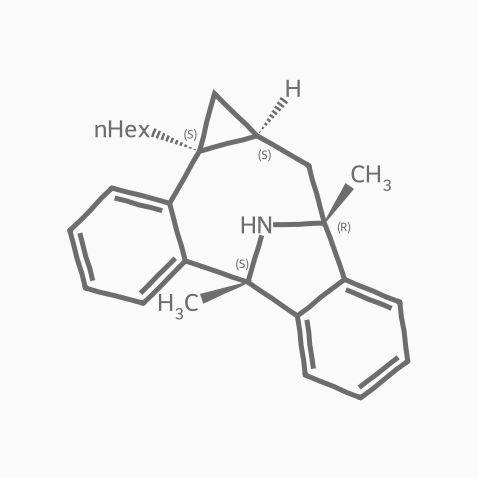 CCCCCC[C@]12C[C@H]1C[C@@]1(C)N[C@@](C)(c3ccccc32)c2ccccc21